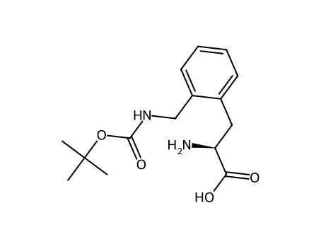 CC(C)(C)OC(=O)NCc1ccccc1C[C@H](N)C(=O)O